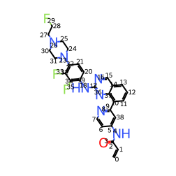 C=CC(=O)Nc1ccnc(-c2cccc3cnc(Nc4ccc(N5CCN(CCF)CC5)c(F)c4F)nc23)c1